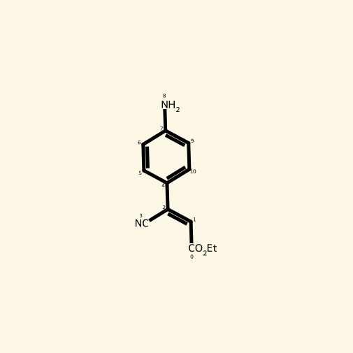 CCOC(=O)C=C(C#N)c1ccc(N)cc1